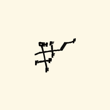 CC(O)(C(F)(F)F)C(F)(F)C=CF